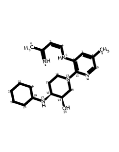 CC(=N)/C=C\Nc1cc(C)cnc1N1CC[C@H](NC2CCCCC2)[C@H](O)C1